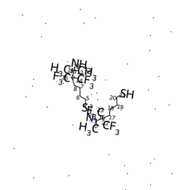 C/C(=N/CSCCCCC(C(C)(C)N)(C(F)(F)F)C(F)(F)F)C(CCCCS)(C(F)(F)F)C(F)(F)F